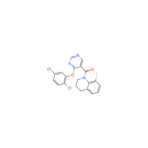 O=C(c1cncnc1Oc1cc(Cl)ccc1Cl)N1CCCc2cccc(F)c21